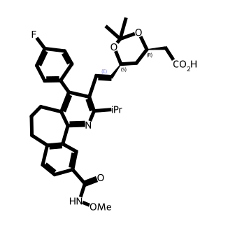 CONC(=O)c1ccc2c(c1)-c1nc(C(C)C)c(/C=C/[C@@H]3C[C@H](CC(=O)O)OC(C)(C)O3)c(-c3ccc(F)cc3)c1CCC2